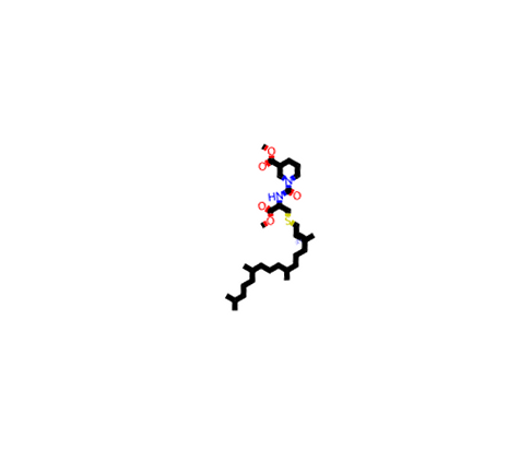 COC(=O)C1CCCN(C(=O)NC(CSC/C=C(\C)CCCC(C)CCCC(C)CCCC(C)C)C(=O)OC)C1